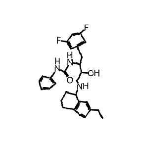 CCc1ccc2c(c1)C(NCC(O)C(Cc1cc(F)cc(F)c1)NC(=O)Nc1ccccc1)CCC2